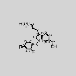 O=C(O)C=CCc1nn(Cc2ccc(F)cc2F)c2cc(CO)ccc12